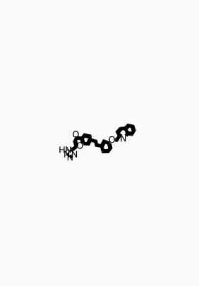 O=c1cc(-c2nnn[nH]2)oc2cc(CCc3cccc(OCc4ccc5ccccc5n4)c3)ccc12